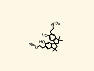 CCCCOCCc1cc2c(cc1O)C1(CC2(C)C)CC(C)(C)c2cc(CCOCCCC)c(O)cc21